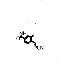 N#CCCc1ccc(C(N)=O)cc1I